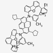 CCc1ccccc1-c1cccc2c1oc1c(N(c3cc(C)cc(C)c3)c3cc(C4CCCC4)c4ccc5c(N(c6cc(C)cc(C)c6)c6cccc7c6oc6c(-c8ccccc8CC)cccc67)cc(C6CCCC6)c6ccc3c4c65)cccc12